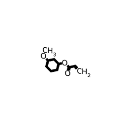 C=CC(=O)OC1CCCC(OC)C1